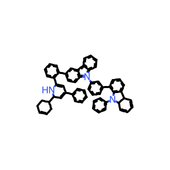 C1=CC2c3cccc(-c4cccc(-n5c6ccccc6c6cc(-c7ccccc7C7=CC(c8ccccc8)=CC(C8CC=CCC8)N7)ccc65)c4)c3N(c3ccccc3)C2C=C1